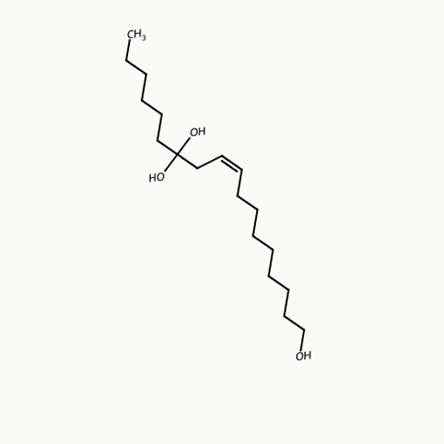 CCCCCCC(O)(O)C/C=C\CCCCCCCCO